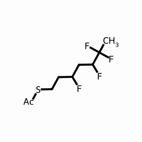 CC(=O)SCCC(F)CC(F)C(C)(F)F